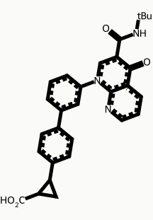 CC(C)(C)NC(=O)c1cn(-c2cccc(-c3ccc(C4CC4C(=O)O)cc3)c2)c2ncccc2c1=O